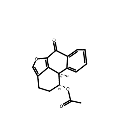 CC(=O)O[C@@H]1CCc2coc3c2[C@@]1(C)c1ccccc1C3=O